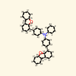 c1ccc(N(c2ccc(-c3cccc4c3oc3ccccc34)cc2)c2ccc(-c3cccc4c3oc3ccccc34)cc2)cc1